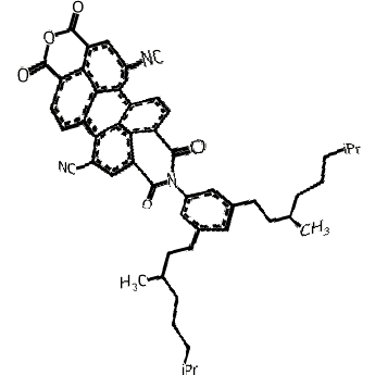 [C-]#[N+]c1cc2c3c(ccc4c5c(C#N)cc6c7c(ccc(c1c34)c75)C(=O)N(c1cc(CCC(C)CCCC(C)C)cc(CCC(C)CCCC(C)C)c1)C6=O)C(=O)OC2=O